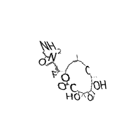 CC[C@H]1C(=O)C(C)(C)[C@@H](O)CC(=O)O[C@H](C(F)=Cc2coc(CN)n2)C/C=C(/C)CCC[C@H](C)[C@@H]1O